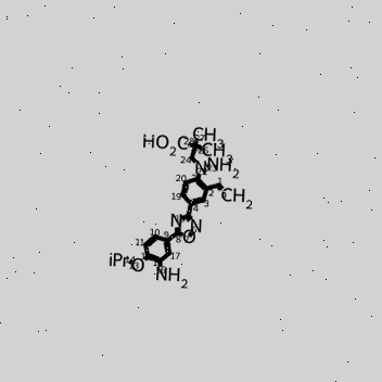 C=Cc1cc(-c2noc(-c3ccc(OC(C)C)c(N)c3)n2)ccc1N(N)CC(C)(C)C(=O)O